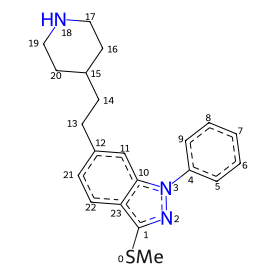 CSc1nn(-c2ccccc2)c2cc(CCC3CCNCC3)ccc12